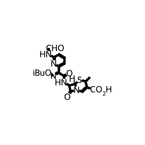 CC(C)CON=C(C(=O)NC1C(=O)N2C=C(C(=O)O)C(C)S[C@H]12)c1cccc(NC=O)n1